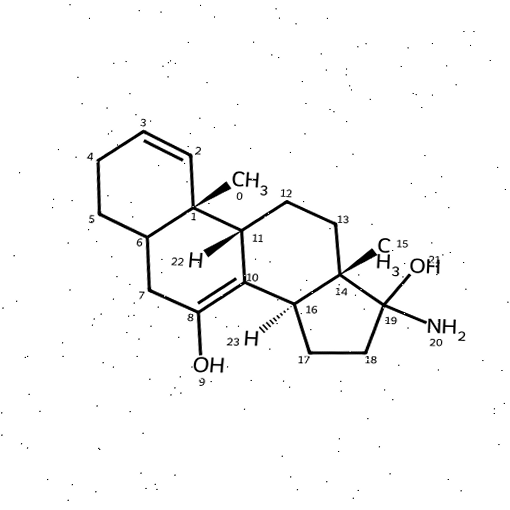 C[C@]12C=CCCC1CC(O)=C1[C@H]2CC[C@@]2(C)[C@H]1CCC2(N)O